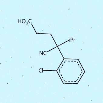 CC(C)C(C#N)(CCC(=O)O)c1ccccc1Cl